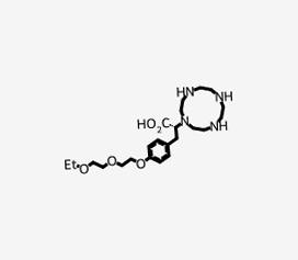 CCOCCOCCOc1ccc(C[C@H](C(=O)O)N2CCNCCNCCNCC2)cc1